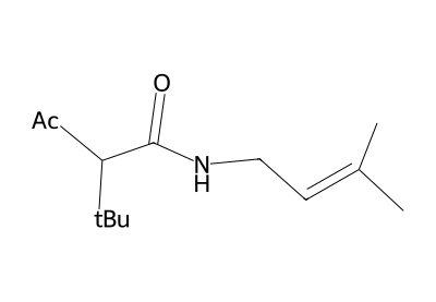 CC(=O)C(C(=O)NCC=C(C)C)C(C)(C)C